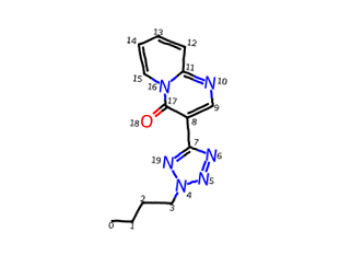 CCCCn1nnc(-c2cnc3ccccn3c2=O)n1